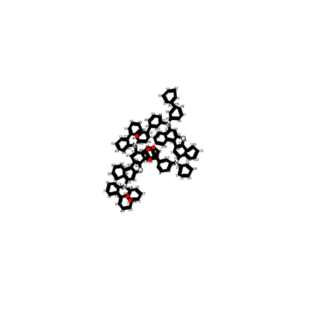 c1ccc(-c2cccc(N(c3ccccc3)c3cc4c(oc5cc(N(c6cccc(-c7ccccc7)c6)c6cccc(-c7ccc(N(c8ccccc8-c8ccccc8)c8cc9c(oc%10cc(N(c%11ccccc%11)c%11ccccc%11-c%11ccccc%11)c%11ccccc%11c%109)c9ccccc89)cc7)c6)c6ccccc6c54)c4ccccc34)c2)cc1